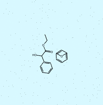 CCOC(=O)C(O)c1ccccc1.c1cc2cc(c1)O2